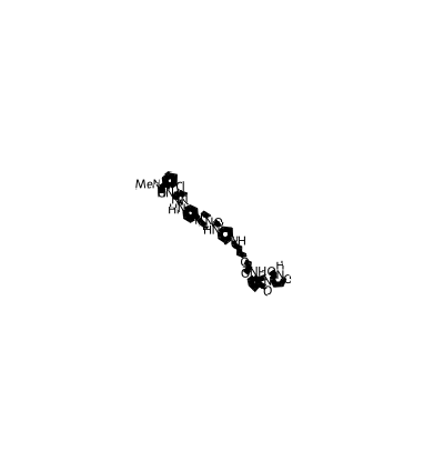 CNC(=O)c1ccccc1Nc1nc(Nc2ccc(N3CCN(C(=O)NC4CCC(NCCCCOCC(=O)Nc5cccc6c5CN(C5CCC(=O)NC5=O)C6=O)CC4)CC3)cc2)ncc1Cl